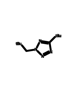 CC(C)(C)Cn1nnc(C(C)(C)C)n1